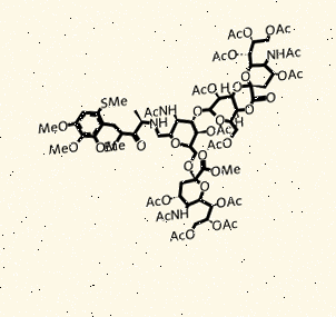 CCC(Cc1c(SC)cc(OC)c(OC)c1OC)C(=O)[C@@H](C)NCC1OC(CO[C@]2(C(=O)OC)C[C@@H](OC(C)=O)C(NC(C)=O)C([C@H](OC(C)=O)[C@@H](COC(C)=O)OC(C)=O)O2)[C@H](OC(C)=O)[C@H](OC2OC(COC(C)=O)[C@@H]3OC(=O)[C@]4(C[C@@H](OC(C)=O)C(NC(C)=O)C([C@H](OC(C)=O)[C@@H](COC(C)=O)OC(C)=O)O4)O[C@@H]3[C@@H]2OC(C)=O)[C@@H]1NC(C)=O